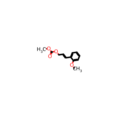 COC(=O)OC/C=C/c1ccccc1OC